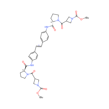 CC(C)(C)OC(=O)N1CC(C(=O)N2CCC[C@H]2C(=O)Nc2ccc(/C=C/c3ccc(NC(=O)[C@@H]4CCCN4C(=O)C4CN(C(=O)OC(C)(C)C)C4)cc3)cc2)C1